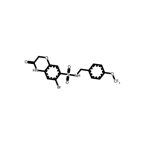 O=C1COc2cc(S(=O)(=O)NCc3ccc(OC(F)(F)F)cc3)c(Br)cc2N1